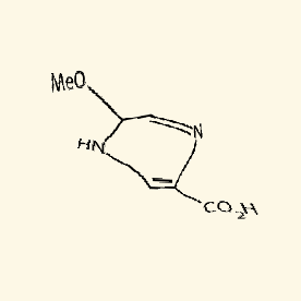 COC1C=NC(C(=O)O)=CN1